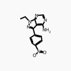 CCn1nc(-c2ccc([N+](=O)[O-])cc2)c2c(N)ncnc21